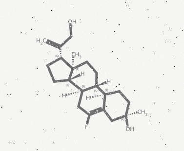 C=C(CO)[C@H]1CC[C@H]2[C@@H]3CC(F)=C4C[C@](C)(O)CC[C@@H]4[C@H]3CC[C@]12C